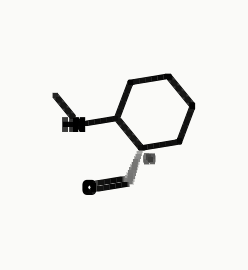 CNC1CCCC[C@@H]1C=O